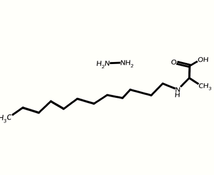 CCCCCCCCCCCCNC(C)C(=O)O.NN